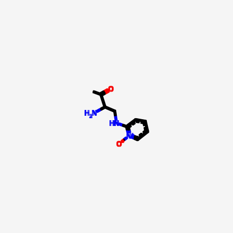 CC(=O)C(N)CNc1cccc[n+]1[O-]